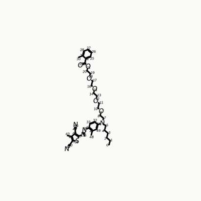 CCCCCCN(CCOCCOCCOCCOCCOC(=O)c1ccccc1C)c1ccc(/N=N/c2sc(C#N)c(C)c2C#N)c(C)c1